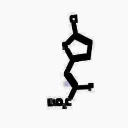 CCOC(=O)/C(F)=C/c1ccc(Cl)s1